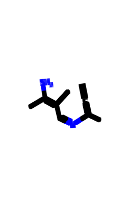 C=C=C(C)/N=C\C(C)=C(/C)N